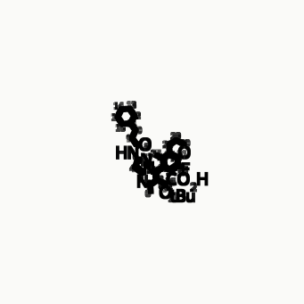 Cc1nc2cc(NC(=O)CCC3CCCCC3)nn2c(-c2cc(F)c3c(c2C)CCCO3)c1[C@H](OC(C)(C)C)C(=O)O